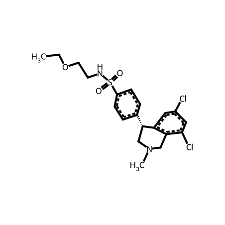 CCOCCNS(=O)(=O)c1ccc([C@H]2CN(C)Cc3c(Cl)cc(Cl)cc32)cc1